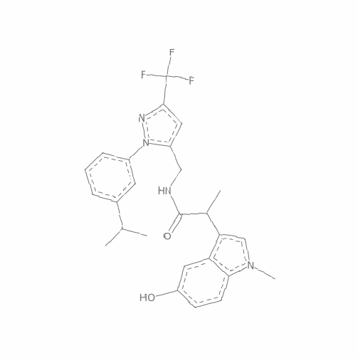 CC(C)c1cccc(-n2nc(C(F)(F)F)cc2CNC(=O)C(C)c2cn(C)c3ccc(O)cc23)c1